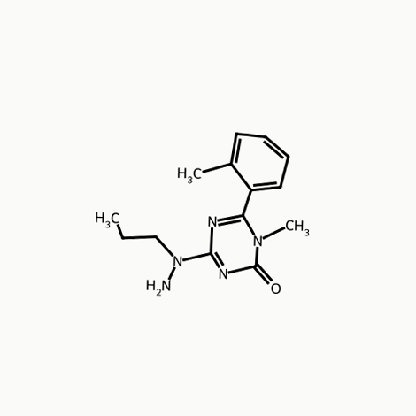 CCCN(N)c1nc(-c2ccccc2C)n(C)c(=O)n1